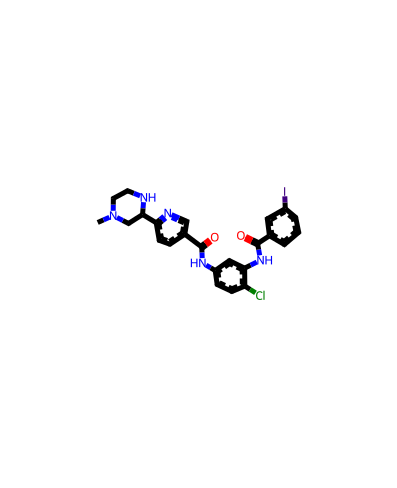 CN1CCNC(c2ccc(C(=O)Nc3ccc(Cl)c(NC(=O)c4cccc(I)c4)c3)cn2)C1